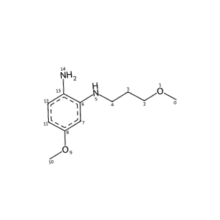 COCCCNc1cc(OC)ccc1N